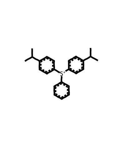 CC(C)c1ccc([S+](c2ccccc2)c2ccc(C(C)C)cc2)cc1